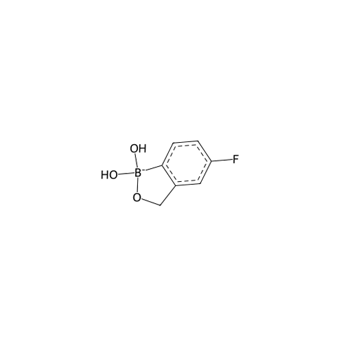 O[B-]1(O)OCc2cc(F)ccc21